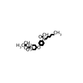 CCCCCCN(C(C)=O)c1ccc(OC2CCN(C(=O)OC(C)(C)C)CC2)cc1